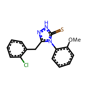 COc1ccccc1-n1c(Cc2ccccc2Cl)n[nH]c1=S